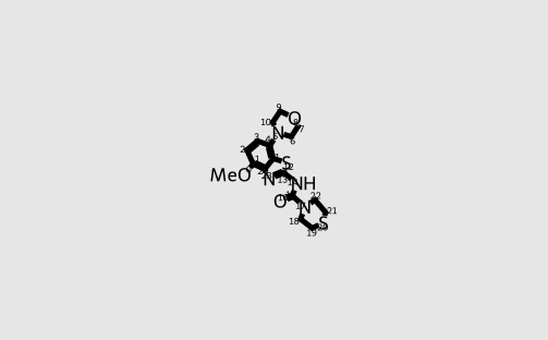 COc1ccc(N2CCOCC2)c2sc(NC(=O)N3CCSCC3)nc12